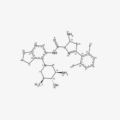 C[C@H]1CN(c2c(NC(=O)C3N=C(c4c(F)cccc4F)SC3N)cnc3c2CCO3)C[C@@H](N)[C@@H]1O